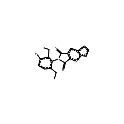 CCc1ccc(Cl)c(CC)c1N1C(=O)c2cc3sccc3nc2C1=O